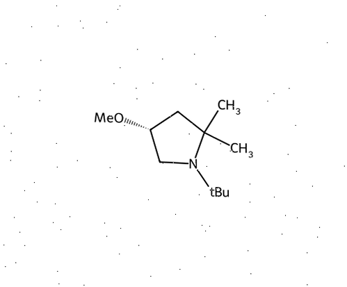 CO[C@H]1CN(C(C)(C)C)C(C)(C)C1